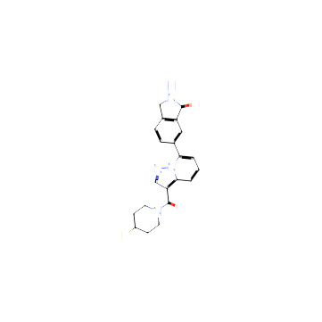 O=C1NCc2ccc(-c3cccc4c(C(=O)N5CCC(F)CC5)cnn34)cc21